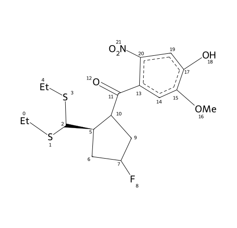 CCSC(SCC)[C@@H]1CC(F)CC1C(=O)c1cc(OC)c(O)cc1[N+](=O)[O-]